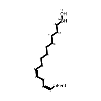 CCCCC/C=C\C/C=C\CCCCCCCCBO